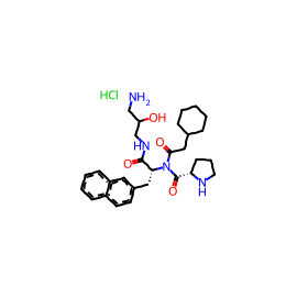 Cl.NCC(O)CNC(=O)[C@@H](Cc1ccc2ccccc2c1)N(C(=O)CC1CCCCC1)C(=O)[C@@H]1CCCN1